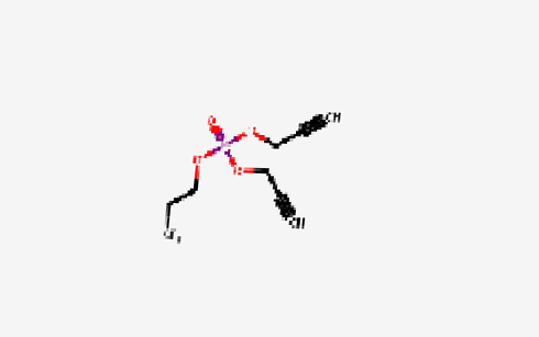 C#CCOP(=O)(OCC#C)OCCC(F)(F)F